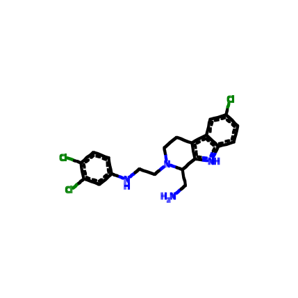 NCC1c2[nH]c3ccc(Cl)cc3c2CCN1CCNc1ccc(Cl)c(Cl)c1